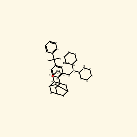 CC(C)(c1ccccc1)c1ccc(C23CC4CC(CC(C4)C2CP)C3)c(CP(C2CCCCN2)C2CCCCN2)c1